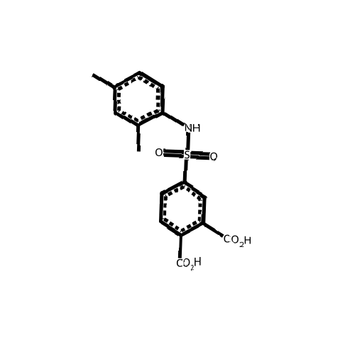 Cc1ccc(NS(=O)(=O)c2ccc(C(=O)O)c(C(=O)O)c2)c(C)c1